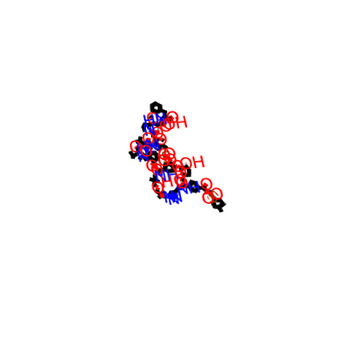 CCC(C)C([C@@H](CC(=O)N1CCC[C@H]1[C@H](OC)[C@@H](C)C(=O)NC(Cc1ccccc1)C(=O)O)OC)N(C)C(=O)[C@@H](NC(=O)C(C(C)C)[N+](C)(C)Cc1c(OC)cc(OS(=O)(=O)Oc2cc(C(=O)NCC(C)(C)COCC(C)(C)Cn3cc(CNC(=O)c4ccc(C(=O)CCS(=O)(=O)c5ccc(C)cc5)cc4)nn3)ccc2OC2O[C@H](CO)CC[C@H]2O)cc1OC)C(C)C